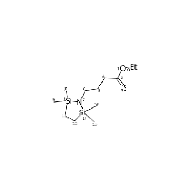 CCOC(=S)CCCN1[Si](C)(C)CC[Si]1(C)C